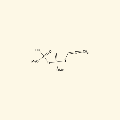 C=C=COP(=O)(OC)OP(=O)(O)OC